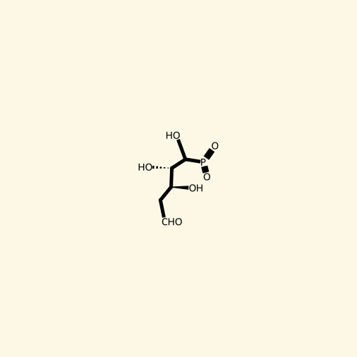 O=CC[C@H](O)[C@H](O)C(O)P(=O)=O